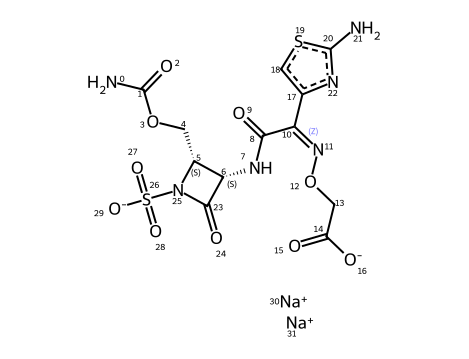 NC(=O)OC[C@@H]1[C@H](NC(=O)/C(=N\OCC(=O)[O-])c2csc(N)n2)C(=O)N1S(=O)(=O)[O-].[Na+].[Na+]